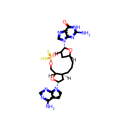 Nc1nc2c(ncn2[C@@H]2O[C@@H]3CCC[C@H]4C[C@H](n5ccc6c(N)ncnc65)O[C@@H]4COP(=S)(S)O[C@@H]2C3)c(=O)[nH]1